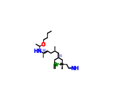 C#CC/C(=C\C(C)C/C=C(\C)NC(C)OCCCC)C[C@@](C)(Br)CC=N